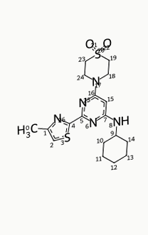 Cc1csc(-c2nc(NC3CCCCC3)cc(N3CCS(=O)(=O)CC3)n2)n1